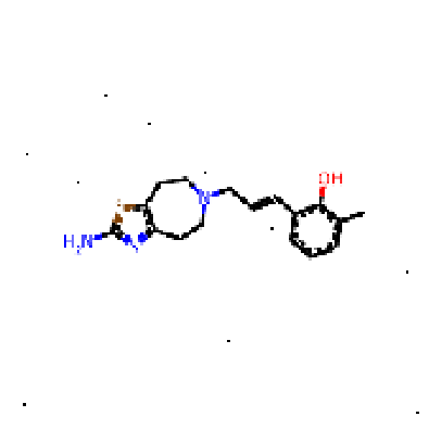 Cc1cccc(/C=C/CN2CCc3nc(N)sc3CC2)c1O